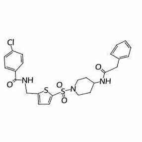 O=C(Cc1ccccc1)NC1CCN(S(=O)(=O)c2ccc(CNC(=O)c3ccc(Cl)cc3)s2)CC1